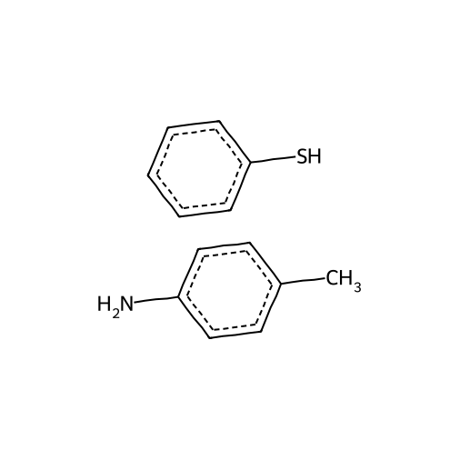 Cc1ccc(N)cc1.Sc1ccccc1